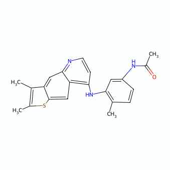 CC(=O)Nc1ccc(C)c(Nc2ccnc3cc4c(C)c(C)sc4cc23)c1